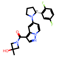 CC1(O)CN(C(=O)c2cnn3ccc(N4CCC[C@@H]4c4cc(F)ccc4F)cc23)C1